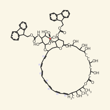 CC1/C=C/C=C/C=C/C=C/C=C/C=C/C=C/C(OC2OC(C)C(O)C(NC(=O)OCC3c4ccccc4-c4ccccc43)C2O)CC2OC(O)(CC(O)CC(O)C(O)CCC(O)CC(O)CC(=O)OC(C)C(C)C1O)CC(OC(=O)OCC1c3ccccc3-c3ccccc31)C2N=C=O